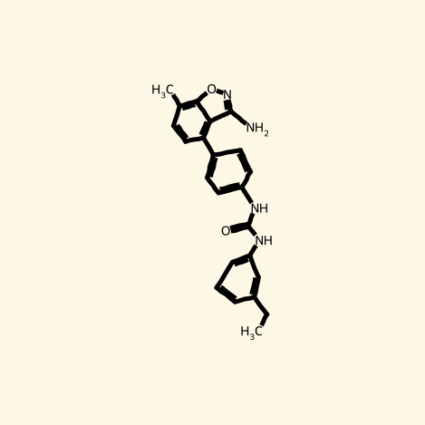 CCc1cccc(NC(=O)Nc2ccc(-c3ccc(C)c4onc(N)c34)cc2)c1